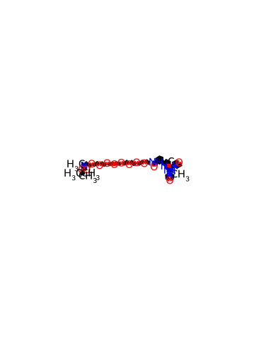 C[C@@H]1COCCN1c1nc(N2CCOC[C@H]2C)c2ccc(-c3cccc(C(=O)NCCOCCOCCOCCOCCOCCOCCOCCOCCN(C)C(=O)OC(C)(C)C)c3)nc2n1